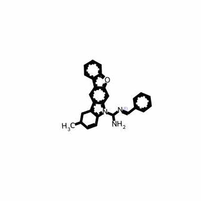 CC1C=Cc2c(c3cc4c(cc3n2C(N)/N=C/c2ccccc2)oc2ccccc24)C1